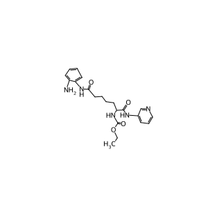 CCOC(=O)NC(CCCCC(=O)Nc1ccccc1N)C(=O)Nc1cccnc1